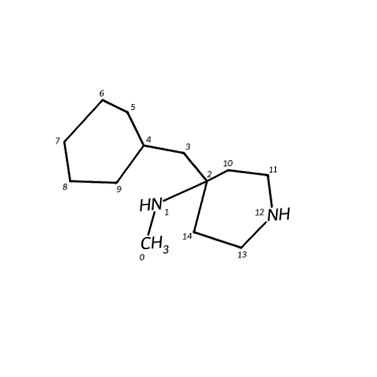 CNC1(CC2CCCCC2)CCNCC1